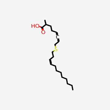 CCCCCCCC/C=C\CCSCC=C=CCCC(C)C(=O)O